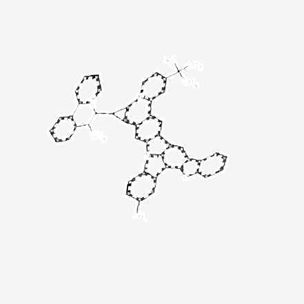 Cc1ccc2c(c1)c1c3oc4ccccc4c3cc3c4cc5c(cc4n2c31)c1c([n+]2ccc(C(C)(C)C)cc52)C1C1C(C)c2ccccc2-c2cccc[n+]21